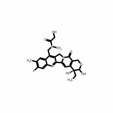 CC[C@]1(O)c2cc3n(c(=O)c2COC1O)Cc1c-3nc2cc(F)c(C)cc2c1CN(C)C(=O)CO